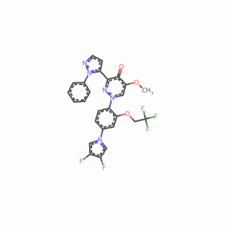 COc1cn(-c2ccc(-n3cc(F)c(F)c3)cc2OCC(F)(F)F)nc(-c2ccnn2-c2ccccc2)c1=O